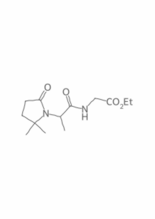 CCOC(=O)CNC(=O)C(C)N1C(=O)CCC1(C)C